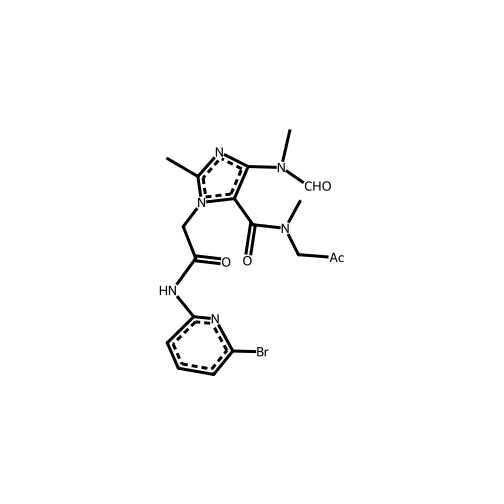 CC(=O)CN(C)C(=O)c1c(N(C)C=O)nc(C)n1CC(=O)Nc1cccc(Br)n1